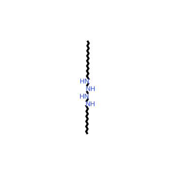 CCCCCCCCCCCCCCCCNCCNCCNCCNCCCCCCCCCCCC